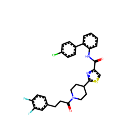 O=C(Nc1ccccc1-c1ccc(Cl)cc1)c1csc(C2CCN(C(=O)CCc3ccc(F)c(F)c3)CC2)n1